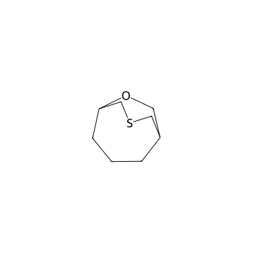 C1CC2COC(C1)CSC2